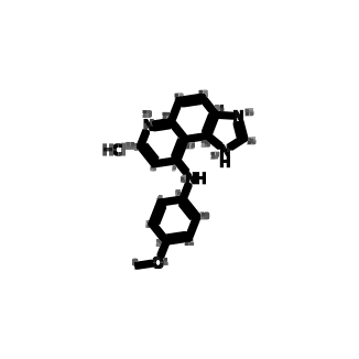 COc1ccc(Nc2ccnc3ccc4nc[nH]c4c23)cc1.Cl